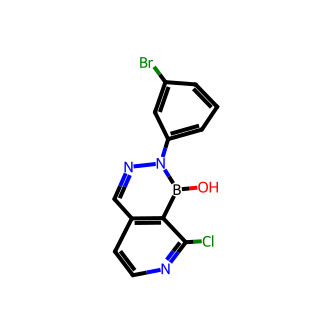 OB1c2c(ccnc2Cl)C=NN1c1cccc(Br)c1